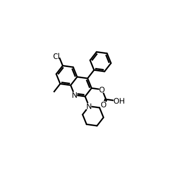 Cc1cc(Cl)cc2c(-c3ccccc3)c(OC(=O)O)c(N3CCCCC3)nc12